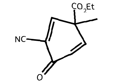 CCOC(=O)C1(C)C=CC(=O)C(C#N)=C1